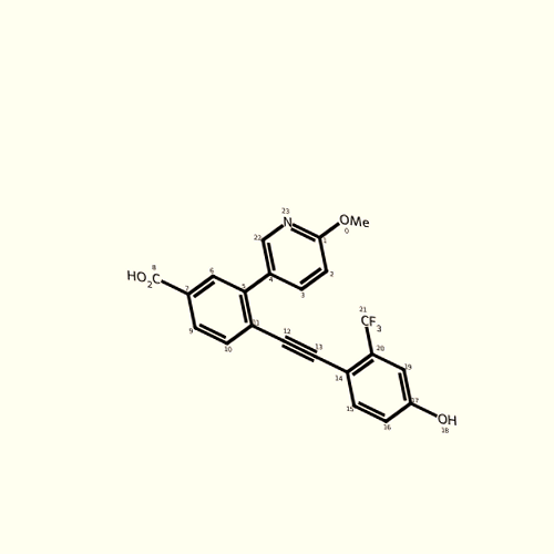 COc1ccc(-c2cc(C(=O)O)ccc2C#Cc2ccc(O)cc2C(F)(F)F)cn1